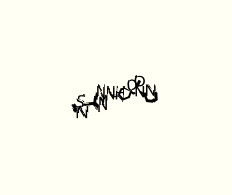 O=C1O[C@]2(CC[C@H](CNc3ncc(-c4nccs4)cn3)CC2)CN1c1ccccn1